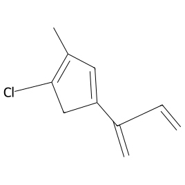 C=CC(=C)C1=CC(C)=C(Cl)C1